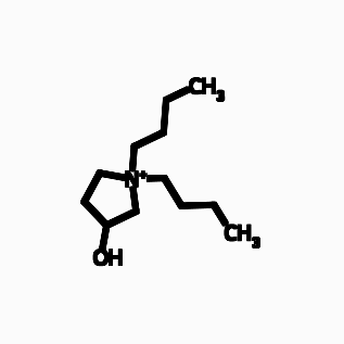 CCCC[N+]1(CCCC)CCC(O)C1